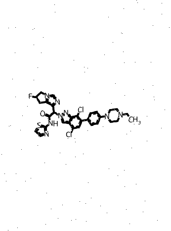 CCN1CCN(c2ccc(-c3cc(Cl)c4cn(C(C(=O)Nc5nccs5)c5ncn6c5CC(F)C6)nc4c3Cl)cc2)CC1